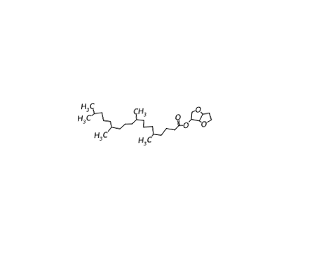 CC(C)CCCC(C)CCCC(C)CCCC(C)CCCC(=O)OC1COC2CCOC21